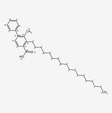 CCCCCCCCCCCCCCCCCCc1c(C(=O)O)cc[n+](-c2ccccc2)c1C